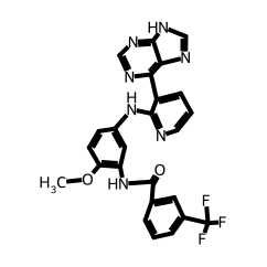 COc1ccc(Nc2ncccc2-c2ncnc3[nH]cnc23)cc1NC(=O)c1cccc(C(F)(F)F)c1